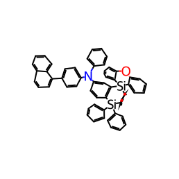 c1ccc(N(c2ccc(-c3cccc4ccccc34)cc2)c2ccc3c(c2)[Si]2(c4ccccc4Oc4ccccc42)c2ccccc2[Si]3(c2ccccc2)c2ccccc2)cc1